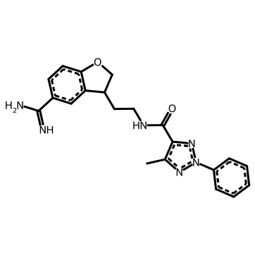 Cc1nn(-c2ccccc2)nc1C(=O)NCCC1COc2ccc(C(=N)N)cc21